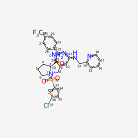 NC(=O)[C@@H]1CCC[N+]1(Cc1cc(NCc2ccccn2)nc(-c2ccc(C(F)(F)F)cc2)c1)S(=O)(=O)c1ccc(Cl)s1